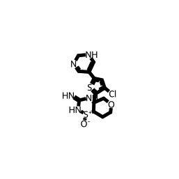 N=C1N[S+]([O-])C2CCOCC2(c2sc(C3=CNCN=C3)cc2Cl)N1